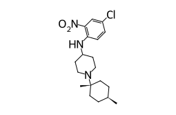 C[C@H]1CC[C@](C)(N2CCC(Nc3ccc(Cl)cc3[N+](=O)[O-])CC2)CC1